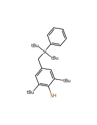 CC(C)(C)c1cc(C[Si](c2ccccc2)(C(C)(C)C)C(C)(C)C)cc(C(C)(C)C)c1S